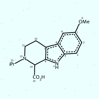 COc1ccc2[nH]c3c(c2c1)CCN(C(C)C)C3C(=O)O